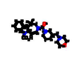 CC1(C)CN(C(=O)N2CCCC(CN3CCOCC3)C2)C=Cc2c1c1ccccc1n2C(=O)O